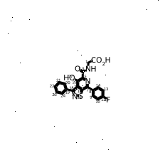 O=C(O)CNC(=O)c1nc(-c2ccc(F)cc2)c2snc(-c3ccccc3)c2c1O